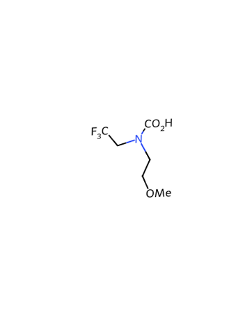 COCCN(CC(F)(F)F)C(=O)O